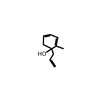 C=CCC1(O)CC=CC=C1C